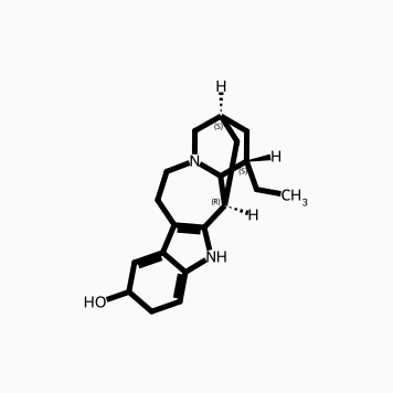 CC[C@H]1C[C@H]2C[C@H]3c4[nH]c5c(c4CCN(C2)C13)=CC(O)CC=5